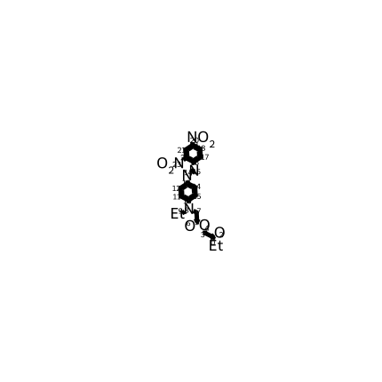 CCC(=O)COC(=O)CN(CC)c1ccc(/N=N/c2ccc([N+](=O)[O-])cc2[N+](=O)[O-])cc1